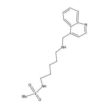 CC(C)(C)S(=O)(=O)NCCCCCNCc1ccnc2ccccc12